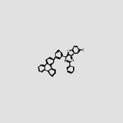 Clc1ccc2oc3c(-c4cccc(-c5ccc6c7ccccc7c7ccccc7c6c5)c4)nc(-c4ccccc4)nc3c2c1